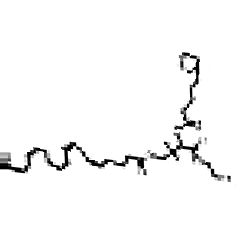 CC/C=C\C/C=C\C/C=C\C/C=C\C/C=C\CCCC(=O)OCC(C)(C)C(OC(=O)CCCC[C@]1(C)CCSS1)C(=O)NCCC(=O)O